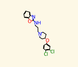 Clc1ccc(OC2CCN(CCCNc3nc4ccccc4o3)CC2)cc1Cl